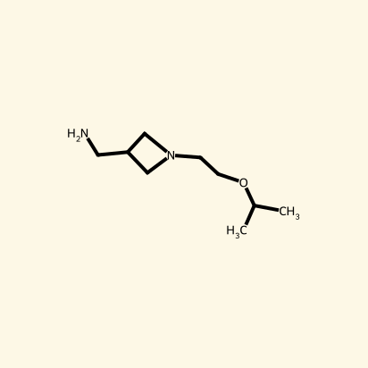 CC(C)OCCN1CC(CN)C1